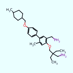 CCC(CC)(CP)COc1cc(C)c(-c2ccc(OCC3CCC(C)CC3)cc2)cc1CP